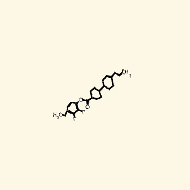 CCCC1CCC(C2CCC(C(=O)Oc3ccc(CC)c(F)c3F)CC2)CC1